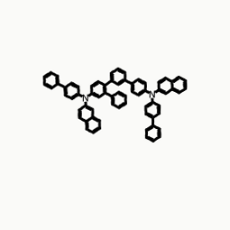 c1ccc(-c2ccc(N(c3ccc(-c4cccc(-c5ccc(N(c6ccc(-c7ccccc7)cc6)c6ccc7ccccc7c6)cc5-c5ccccc5)c4)cc3)c3ccc4ccccc4c3)cc2)cc1